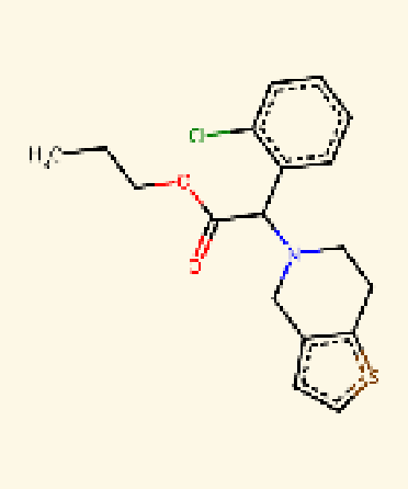 CCCOC(=O)C(c1ccccc1Cl)N1CCc2sccc2C1